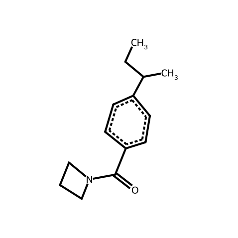 CCC(C)c1ccc(C(=O)N2CCC2)cc1